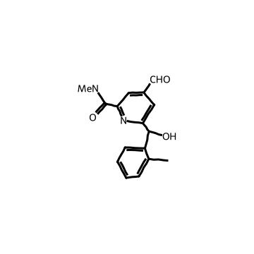 CNC(=O)c1cc(C=O)cc(C(O)c2ccccc2C)n1